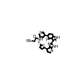 CC(C)(C)CC(=O)Nc1cncc(-c2ccc3[nH]nc(-c4nc5c(-c6ccc(F)s6)ccnc5[nH]4)c3c2F)c1